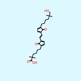 CC(C)(CO)CCCCC1=CC=C(C=CC2=CC=C(CCCCC(C)(C)C(=O)O)C2=O)C1=O